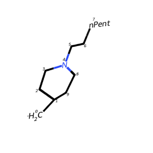 [CH2]C1CCN(CCCCCCC)CC1